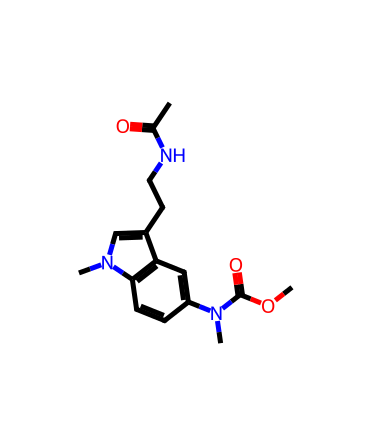 COC(=O)N(C)c1ccc2c(c1)c(CCNC(C)=O)cn2C